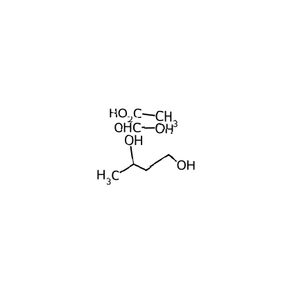 CC(=O)O.CC(O)CCO.O=CO